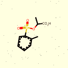 Cc1ccccc1S(=O)(=O)OC(C)C(=O)O